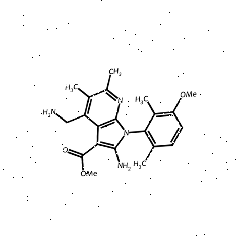 COC(=O)c1c(N)n(-c2c(C)ccc(OC)c2C)c2nc(C)c(C)c(CN)c12